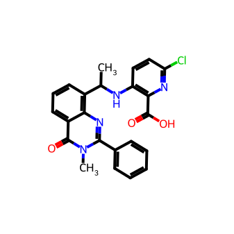 CC(Nc1ccc(Cl)nc1C(=O)O)c1cccc2c(=O)n(C)c(-c3ccccc3)nc12